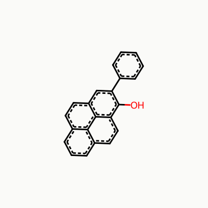 Oc1c(-c2ccccc2)cc2ccc3cccc4ccc1c2c34